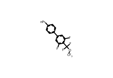 CCCc1ccc(-c2cc(F)c(C(F)(F)OC(F)(F)F)c(F)c2)cc1